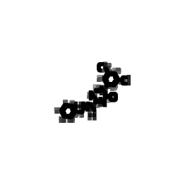 O=c1nc(NNCc2ccccc2)ncn1-c1cc(Cl)cc(Cl)c1